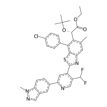 CCOC(=O)[C@@H](OC(C)(C)C)c1c(C)cc2nc(-c3cc(-c4ccc5c(cnn5C)c4)ncc3C(F)F)sc2c1-c1ccc(Cl)cc1